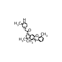 Cc1cccc(F)c1Oc1cc2c(cn1)C(C)(C)CN2C(=O)CN1CCN[C@H](C)C1